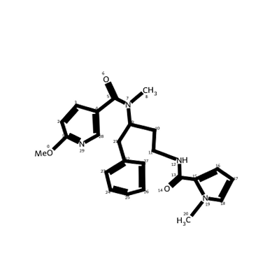 COc1ccc(C(=O)N(C)C(CCNC(=O)c2cccn2C)Cc2ccccc2)cn1